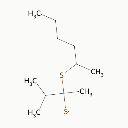 CCCCC(C)SC(C)([S])C(C)C